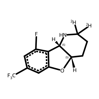 [2H]C1([2H])CC[C@@H]2Oc3cc(C(F)(F)F)cc(F)c3[C@@H]2N1